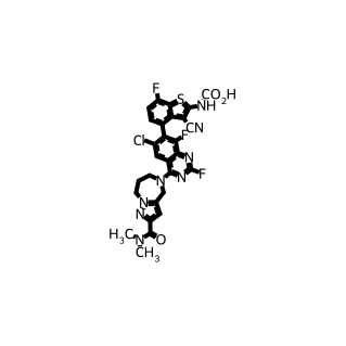 CN(C)C(=O)c1cc2n(n1)CCCN(c1nc(F)nc3c(F)c(-c4ccc(F)c5sc(NC(=O)O)c(C#N)c45)c(Cl)cc13)C2